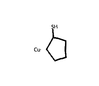 SC1CCCC1.[Cu]